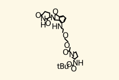 CC(C)(C)OC(=O)NC1CCN(C(=O)COCCOCCNc2cccc3c2CN(C2CCC(=O)NC2=O)C3=O)C1